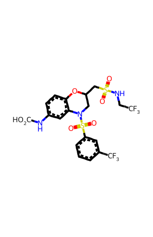 O=C(O)Nc1ccc2c(c1)N(S(=O)(=O)c1cccc(C(F)(F)F)c1)CC(CS(=O)(=O)NCC(F)(F)F)O2